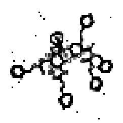 C[C@H]([C@H]1O[C@H](O[C@@H]2[C@@H](NC(=O)OCc3ccccc3)[C@H](O)[C@@H](NC(=O)OCc3ccccc3)[C@@H]3OC4(CCCCC4)O[C@@H]23)[C@H](N=[N+]=[N-])C[C@@H]1OCc1ccccc1)N(Cc1ccccc1)C(=O)OCc1ccccc1